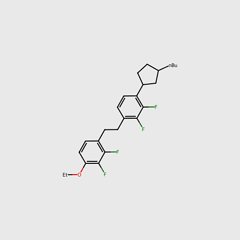 CCCCC1CCC(c2ccc(CCc3ccc(OCC)c(F)c3F)c(F)c2F)C1